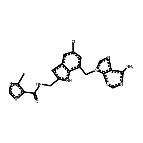 Cc1ncsc1C(=O)NCc1cc2cc(Cl)cc(Cn3cnc4c(N)ncnc43)c2[nH]1